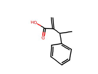 C=C(C(=O)O)C(C)c1ccccc1